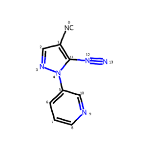 [C-]#[N+]c1cnn(-c2cccnc2)c1[N+]#N